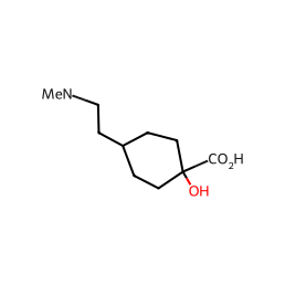 CNCCC1CCC(O)(C(=O)O)CC1